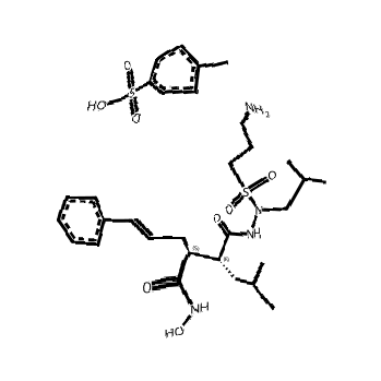 CC(C)C[C@@H](C(=O)NN(CC(C)C)S(=O)(=O)CCCN)[C@H](CC=Cc1ccccc1)C(=O)NO.Cc1ccc(S(=O)(=O)O)cc1